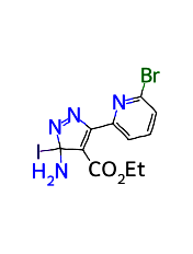 CCOC(=O)C1=C(c2cccc(Br)n2)N=NC1(N)I